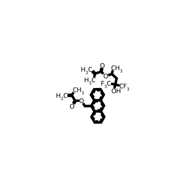 C=C(C)C(=O)OC(C)CC(O)(C(F)(F)F)C(F)(F)F.C=C(C)C(=O)OCc1c2ccccc2cc2ccccc12